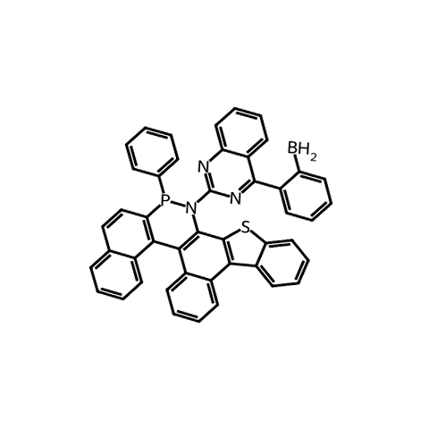 Bc1ccccc1-c1nc(N2c3c(c4ccccc4c4c3sc3ccccc34)-c3c(ccc4ccccc34)P2c2ccccc2)nc2ccccc12